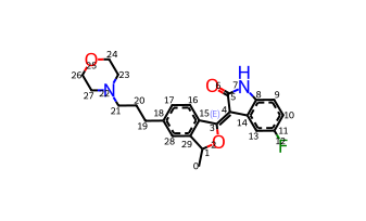 CC1O/C(=C2/C(=O)Nc3ccc(F)cc32)c2ccc(CCCN3CCOCC3)cc21